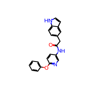 O=C(Cc1ccc2[nH]ccc2c1)Nc1ccc(Oc2ccccc2)nc1